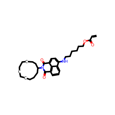 C=CC(=O)OCCCCCCNc1ccc2c3c(cccc13)C(=O)N(C1CCCCCCCCCCC1)C2=O